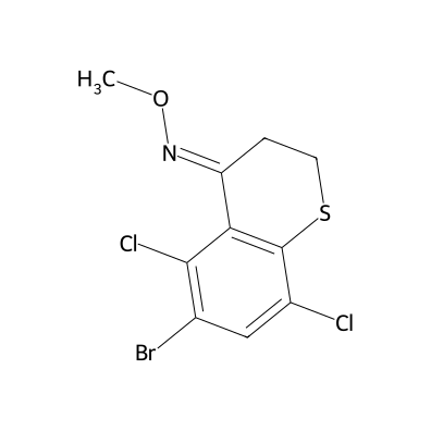 CON=C1CCSc2c(Cl)cc(Br)c(Cl)c21